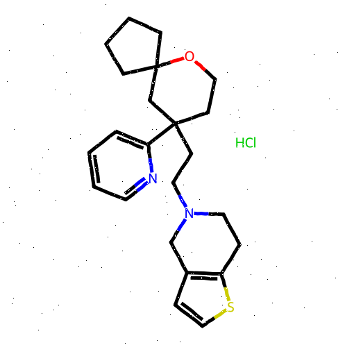 Cl.c1ccc(C2(CCN3CCc4sccc4C3)CCOC3(CCCC3)C2)nc1